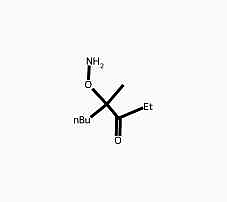 CCCCC(C)(ON)C(=O)CC